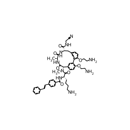 C[C@@H]1NC(=O)[C@@H](N(C)C(=O)[C@H](CCCCN)NC(=O)c2ccc(/C=C/c3ccccc3)cc2)c2ccc(OCCN)c(c2)-c2cc(ccc2OCCN)C[C@@H](C(=O)NCC#N)NC1=O